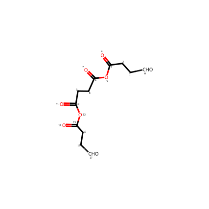 O=CCCC(=O)OC(=O)CCC(=O)OC(=O)CCC=O